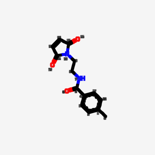 Cc1ccc(C(=O)NCCN2C(=O)C=CC2=O)cc1